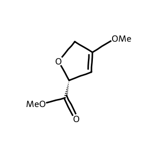 COC(=O)[C@H]1C=C(OC)CO1